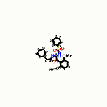 COc1cccc(OC)c1-c1oc(Cc2ccccc2)nc1NS(=O)(=O)c1ccccc1